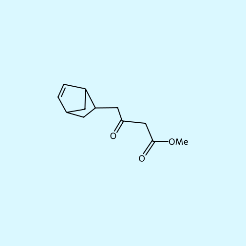 COC(=O)CC(=O)CC1CC2C=CC1C2